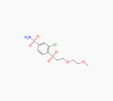 COCCOCCS(=O)(=O)c1ccc(S(N)(=O)=O)cc1Cl